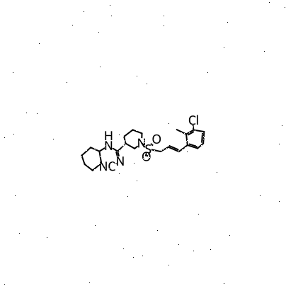 Cc1c(Cl)cccc1C=CCS(=O)(=O)N1CCC[C@H](C(=NC#N)NC2CCCCC2)C1